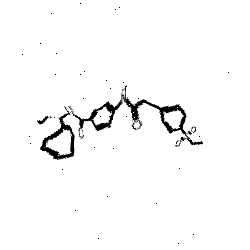 CC[C@H](NC(=O)c1ccc(NC(=O)Cc2ccc(S(=O)(=O)CC)cc2)cc1)c1ccccc1